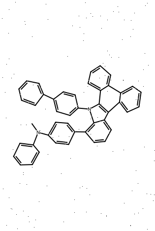 CN(c1ccccc1)c1ccc(-c2cccc3c4c5ccccc5c5ccccc5c4n(-c4ccc(-c5ccccc5)cc4)c23)cc1